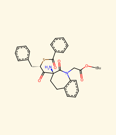 CC(C)(C)OC(=O)CN1C(=O)[C@@](N)(C(=O)[C@H](Cc2ccccc2)SC(=O)c2ccccc2)CCc2ccccc21